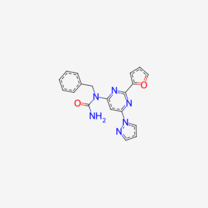 NC(=O)N(Cc1ccccc1)c1cc(-n2cccn2)nc(-c2ccco2)n1